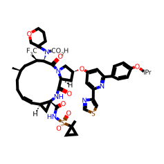 CC(C)Oc1ccc(-c2cc(O[C@@H]3C[C@H]4C(=O)N[C@]5(C(=O)NS(=O)(=O)C6(C)CC6)C[C@H]5C=CCC[C@@H](C)C[C@@H](C)[C@H](N(C(=O)O)C5(C(F)(F)F)CCCOC5)C(=O)N4C3)cc(-c3cscn3)n2)cc1